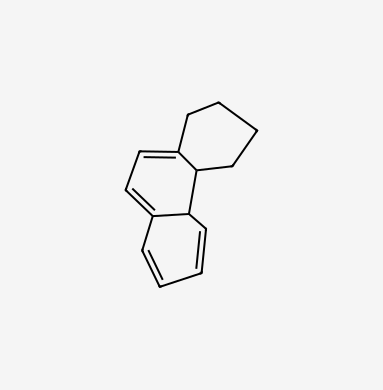 C1=CC2=CC=C3CCCCC3C2C=C1